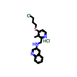 Cc1c(SCCCCl)ccnc1CNc1cnc2ccccc2c1.Cl